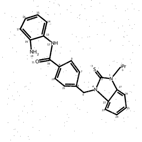 CC(C)n1c(=S)n(Cc2ccc(C(=O)Nc3ccccc3N)cc2)c2ccccc21